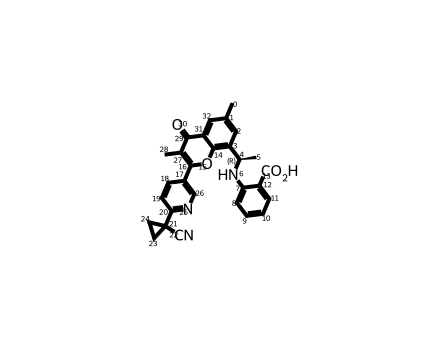 Cc1cc([C@@H](C)Nc2ccccc2C(=O)O)c2oc(-c3ccc(C4(C#N)CC4)nc3)c(C)c(=O)c2c1